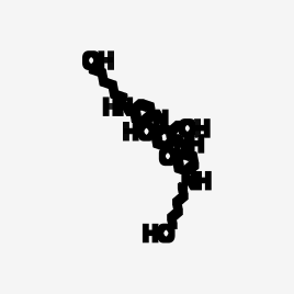 O=C1C=C(O)C(=Nc2ccc(NCCCCCCO)cc2)C(CO)=C1Nc1ccc(NCCCCCCO)cc1